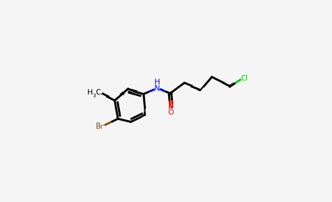 Cc1cc(NC(=O)CCCCCl)ccc1Br